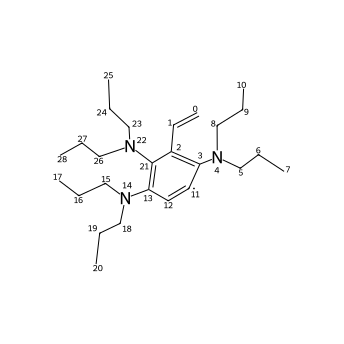 C=Cc1c(N(CCC)CCC)[c]cc(N(CCC)CCC)c1N(CCC)CCC